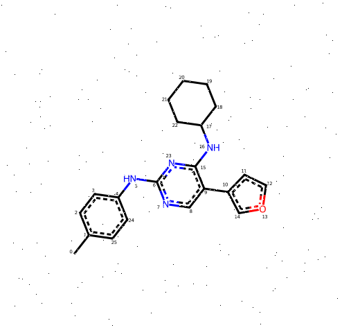 Cc1ccc(Nc2ncc(-c3ccoc3)c(NC3CCCCC3)n2)cc1